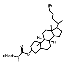 CCCCCCCNC(=O)O[C@H]1CC[C@@]2(C)C(CC[C@H]3C4CC[C@H](C(C)CCCC(C)C)[C@@]4(C)CC[C@@H]32)C1